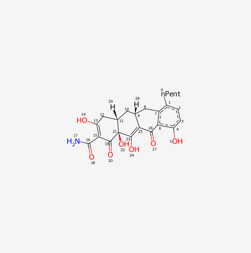 CCCCCc1ccc(O)c2c1C[C@H]1C[C@H]3CC(O)=C(C(N)=O)C(=O)[C@@]3(O)C(O)=C1C2=O